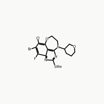 CSc1nc2c3c(c(Cl)c(Br)c(F)c3n1)OCCN2C1CCCOC1